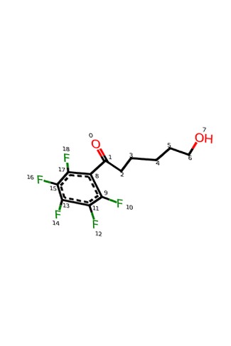 O=C(CCCCCO)c1c(F)c(F)c(F)c(F)c1F